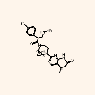 CC(C)NCC(C(=O)N1CCN(c2ncc3c(n2)NC(=O)C[C@H]3C)[C@H]2C[C@H]21)c1ccc(Cl)cc1